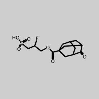 O=C1C2CC3CC1CC(C(=O)OCC(F)CS(=O)(=O)O)(C3)C2